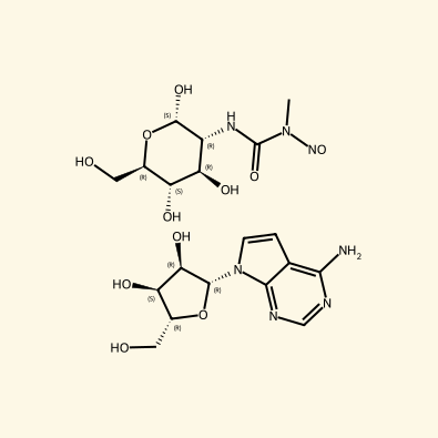 CN(N=O)C(=O)N[C@@H]1[C@@H](O)[C@H](O)[C@@H](CO)O[C@@H]1O.Nc1ncnc2c1ccn2[C@@H]1O[C@H](CO)[C@@H](O)[C@H]1O